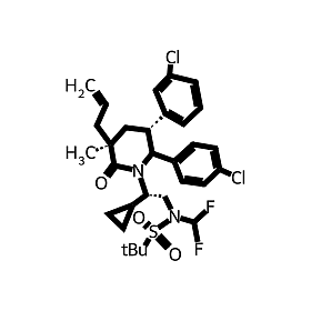 C=CC[C@@]1(C)C[C@H](c2cccc(Cl)c2)C(c2ccc(Cl)cc2)N([C@H](CN(C(F)F)S(=O)(=O)C(C)(C)C)C2CC2)C1=O